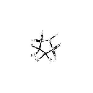 CC1(C(F)(F)F)C(C(F)(F)F)(C(F)(F)F)S(=O)(=O)N(I)S1(=O)=O